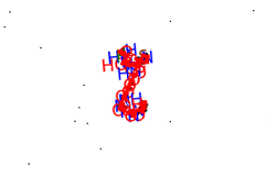 Cc1ncsc1-c1ccc(CNC(=O)[C@@H]2C[C@@H](O)CN2C(=O)[C@@H](NC(=O)C2(F)CC2)C(C)(C)C)c(OCC(=O)NCCOCCOCCOCCC(=O)NCCN(C)C(=O)c2ccc(-c3cc(C(=O)N[C@@H]4CCc5ccccc54)no3)cc2O)c1